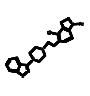 CC(=O)N1CCc2c1ccc(CCN1CCN(c3nsc4ccccc34)CC1)c2Cl